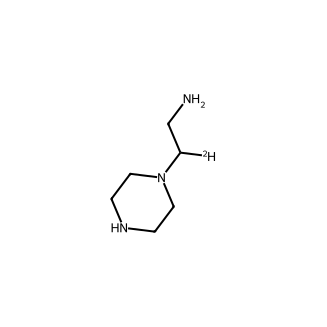 [2H]C(CN)N1CCNCC1